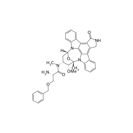 CO[C@@H]1[C@H](N(C)C(=O)[C@@H](N)COCc2ccccc2)C[C@H]2O[C@]1(C)n1c3ccccc3c3c4c(c5c6ccccc6n2c5c31)C(=O)NC4